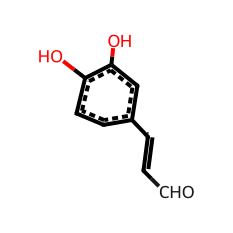 O=CC=[C]c1ccc(O)c(O)c1